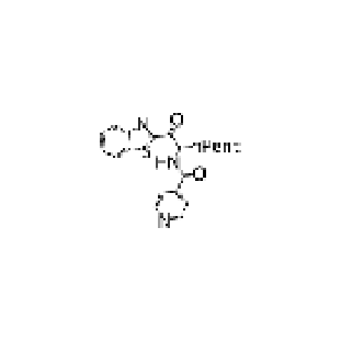 CCCCCC(NC(=O)c1ccncc1)C(=O)c1nc2ccccc2s1